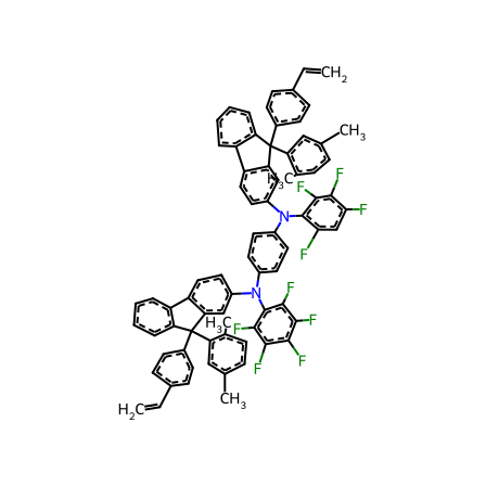 C=Cc1ccc(C2(c3cc(C)ccc3C)c3ccccc3-c3ccc(N(c4ccc(N(c5ccc6c(c5)C(c5ccc(C=C)cc5)(c5cc(C)ccc5C)c5ccccc5-6)c5c(F)c(F)c(F)c(F)c5F)cc4)c4c(F)cc(F)c(F)c4F)cc32)cc1